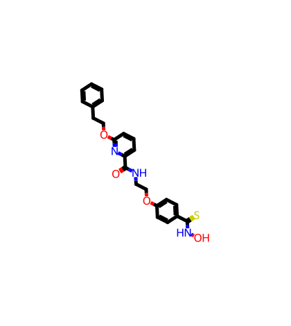 O=C(NCCOc1ccc(C(=S)NO)cc1)c1cccc(OCCc2ccccc2)n1